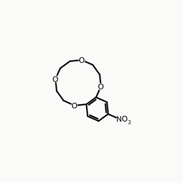 O=[N+]([O-])c1ccc2c(c1)OCCOCCOCCO2